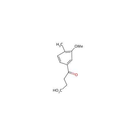 COc1cc(C(=O)CCC(=O)O)ccc1C